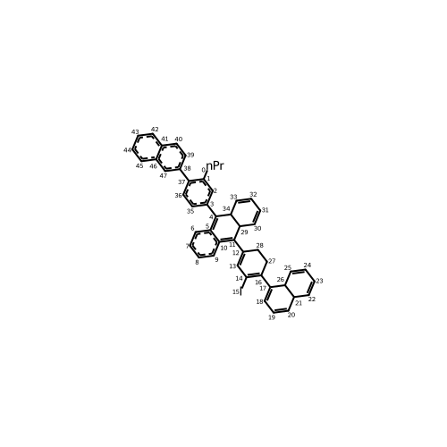 CCCc1cc(C2=c3ccccc3=C(C3=CC(I)=C(C4=CC=CC5C=CC=CC45)CC3)C3C=CC=CC23)ccc1-c1ccc2ccccc2c1